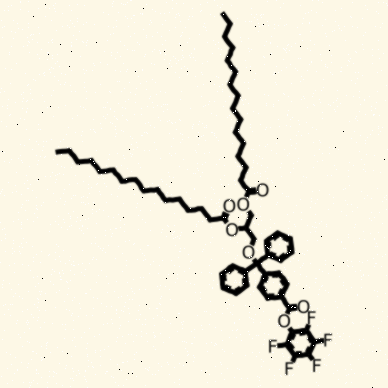 CCCCCCCCCCCCCCCC(=O)OCC(COC(c1ccccc1)(c1ccccc1)c1ccc(C(=O)Oc2c(F)c(F)c(F)c(F)c2F)cc1)OC(=O)CCCCCCCCCCCCCCC